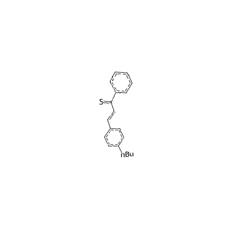 CCCCc1ccc(C=CC(=S)c2ccccc2)cc1